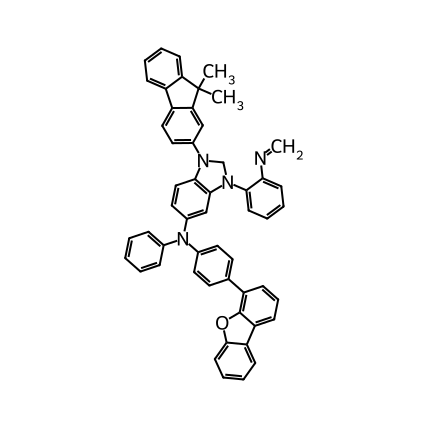 C=Nc1ccccc1N1CN(c2ccc3c(c2)C(C)(C)c2ccccc2-3)c2ccc(N(c3ccccc3)c3ccc(-c4cccc5c4oc4ccccc45)cc3)cc21